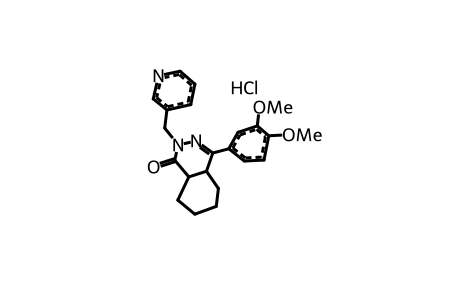 COc1ccc(C2=NN(Cc3cccnc3)C(=O)C3CCCCC23)cc1OC.Cl